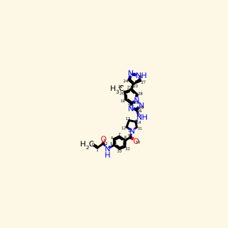 C=CC(=O)Nc1ccc(C(=O)N2CCC(Nc3nc4cc(C)c(-c5cn[nH]c5)cn4n3)C2)cc1